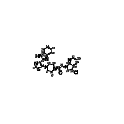 C[C@@H]1CN(c2scnc2-c2nc3ccccc3[nH]2)CCN1C(=O)Cn1cc(Cl)c2cccnc21